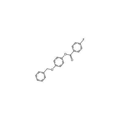 O=C(Oc1ccc(OCc2ccccc2)cc1)c1ccc(F)cc1